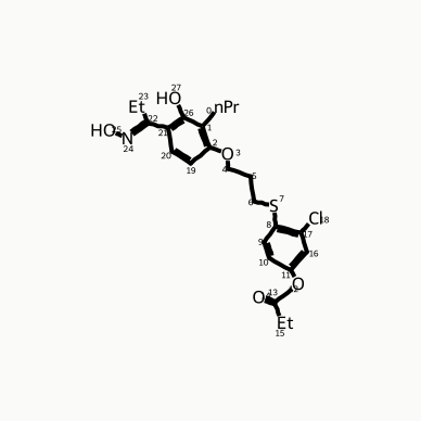 CCCc1c(OCCCSc2ccc(OC(=O)CC)cc2Cl)ccc(C(CC)=NO)c1O